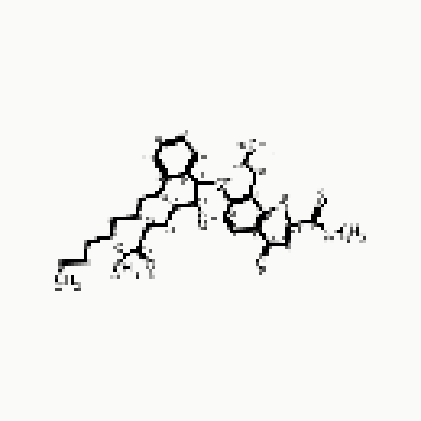 CCCCCCCCCc1ccccc1C(Sc1ccc2c(=O)cc(C(=O)OC)oc2c1CCC)C(O)CCCC(=O)OC